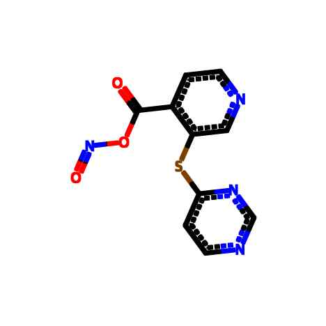 O=NOC(=O)c1ccncc1Sc1ccncn1